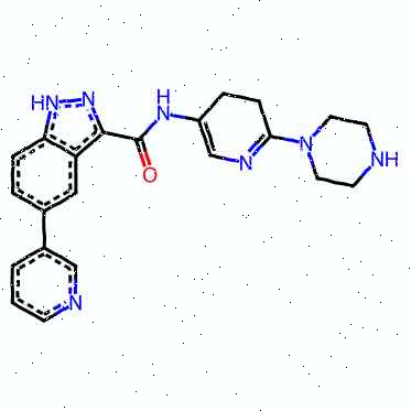 O=C(NC1=CN=C(N2CCNCC2)CC1)c1n[nH]c2ccc(-c3cccnc3)cc12